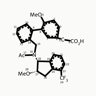 COc1ccc(CC(=O)O)cc1-c1ccccc1CN(C(C)=O)[C@@H]1c2cccc(C(F)(F)F)c2C[C@@H]1OC